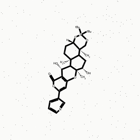 CC(C)(C)[Si]1(C(C)(C)C)OC[C@@]2(C)C3C[C@H](O)[C@@]4(C)Oc5cc(-c6cccnc6)oc(=O)c5[C@H](O)C4[C@@]3(C)CC[C@@H]2O1